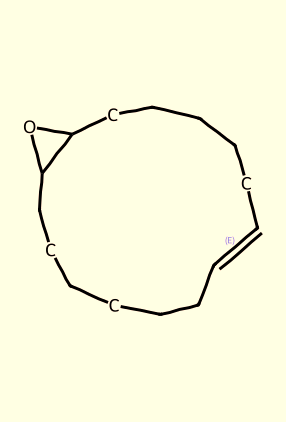 C1=C/CCCCCC2OC2CCCCCC/1